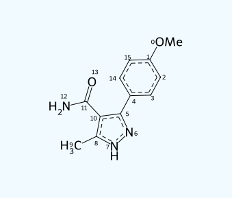 COc1ccc(-c2n[nH]c(C)c2C(N)=O)cc1